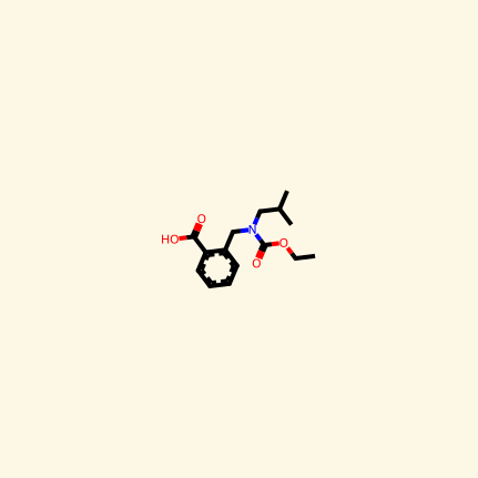 CCOC(=O)N(Cc1ccccc1C(=O)O)CC(C)C